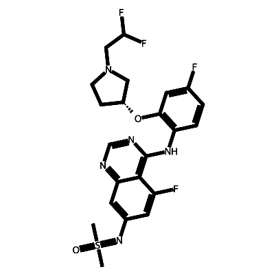 CS(C)(=O)=Nc1cc(F)c2c(Nc3ccc(F)cc3O[C@@H]3CCN(CC(F)F)C3)ncnc2c1